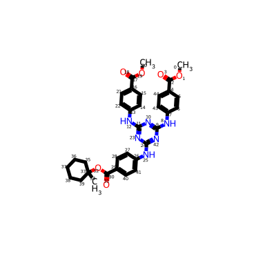 COC(=O)c1ccc(Nc2nc(Nc3ccc(C(=O)OC)cc3)nc(Nc3ccc(C(=O)OC4(C)CCCCC4)cc3)n2)cc1